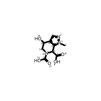 Cn1ncc2c1C(C(=O)O)N(C(=O)O)CC2O